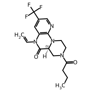 C=CN1C(=O)[C@@H]2CN(C(=O)CCC)CCN2c2ncc(C(F)(F)F)cc21